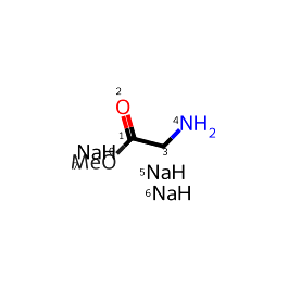 COC(=O)CN.[NaH].[NaH].[NaH]